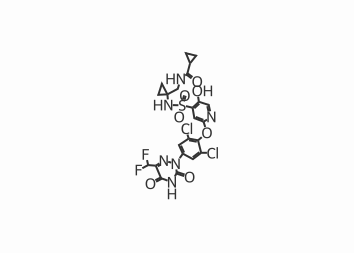 O=C(NCC1(NS(=O)(=O)c2cc(Oc3c(Cl)cc(-n4nc(C(F)F)c(=O)[nH]c4=O)cc3Cl)ncc2O)CC1)C1CC1